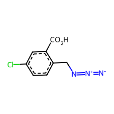 [N-]=[N+]=NCc1ccc(Cl)cc1C(=O)O